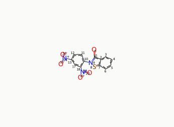 O=c1c2ccccc2sn1-c1ccc([N+](=O)[O-])cc1[N+](=O)[O-]